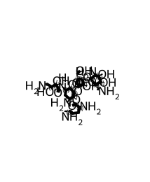 NC[C@@H]1CC[C@@H](N)[C@@H](O[C@H]2[C@H](O[C@@H]3O[C@H](CO)[C@@H](O[C@H]4O[C@@H](CN)[C@@H](O)[C@H](O)[C@H]4N)[C@H]3O)[C@@H](O)[C@H](NC(=O)[C@@H](O)[C@@H](O)CN)C[C@@H]2N)O1